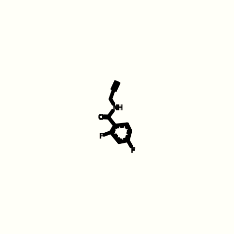 C#CCNC(=O)c1ccc(F)cc1F